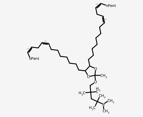 CCCCC/C=C\C/C=C\CCCCCCCC1OC(C)(OCC(C)(C)CC(C)(C)N(C)C)OC1CCCCCCC/C=C\C/C=C\CCCCC